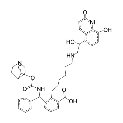 O=C(NC(c1ccccc1)c1cccc(C(=O)O)c1CCCCCCNCC(O)c1ccc(O)c2[nH]c(=O)ccc12)OC1CN2CCC1CC2